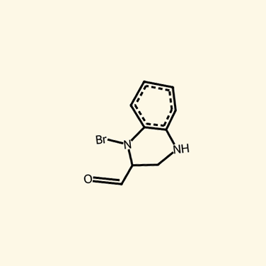 O=CC1CNc2ccccc2N1Br